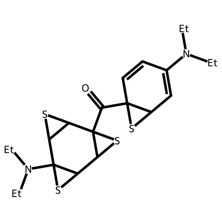 CCN(CC)C1=CC2SC2(C(=O)C23SC2C2SC2(N(CC)CC)C2SC23)C=C1